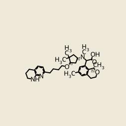 Cc1cc2c(c(C(C(=O)O)N(C)[C@@H]3C[C@@H](OCCCCc4ccc5c(n4)NCCC5)C(C)(C)C3)c1)[C@H](C)OCC2